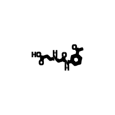 CC(=O)c1cccc(NC(=O)CNCCC(=O)O)c1